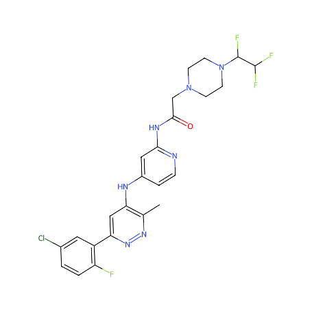 Cc1nnc(-c2cc(Cl)ccc2F)cc1Nc1ccnc(NC(=O)CN2CCN(C(F)C(F)F)CC2)c1